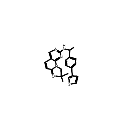 CC(Nc1ncc2ccc(=O)n(CC(C)(C)C)c2n1)c1ccc(-c2ccsc2)cc1